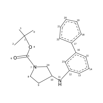 CC(C)(C)OC(=O)N1CCC(Nc2cccc(-c3ccccc3)c2)C1